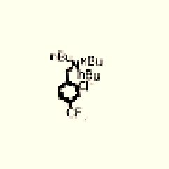 CCCC[N+](CCCC)(CCCC)Cc1ccc(C(F)(F)F)cc1.[Cl-]